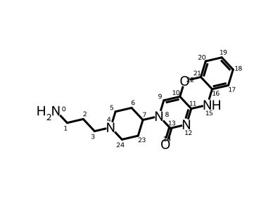 NCCCN1CCC(n2cc3c(nc2=O)Nc2ccccc2O3)CC1